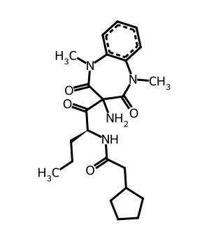 CCC[C@H](NC(=O)CC1CCCC1)C(=O)C1(N)C(=O)N(C)c2ccccc2N(C)C1=O